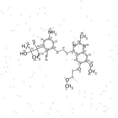 COCCOc1cc2c(CCCc3cc(N)cc(C(F)(F)C(C)(C)O)c3F)nc(C)nc2cc1OC